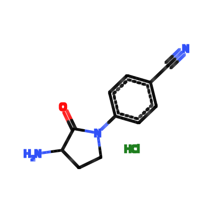 Cl.N#Cc1ccc(N2CCC(N)C2=O)cc1